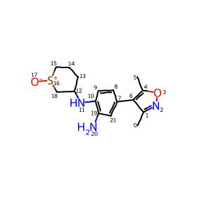 Cc1noc(C)c1-c1ccc(NC2CCC[S+]([O-])C2)c(N)c1